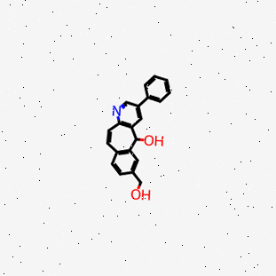 OCc1ccc2c(c1)C(O)c1cc(-c3ccccc3)cnc1C=C2